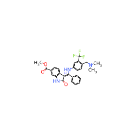 COC(=O)c1ccc2c(c1)NC(=O)/C2=C(/Nc1ccc(CN(C)C)c(C(F)(F)F)c1)c1ccccc1